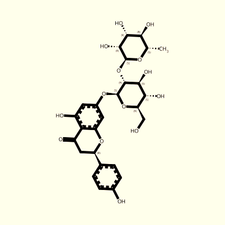 C[C@@H]1O[C@@H](O[C@H]2[C@H](Oc3cc(O)c4c(c3)O[C@@H](c3ccc(O)cc3)CC4=O)O[C@H](CO)[C@@H](O)[C@@H]2O)[C@H](O)[C@H](O)[C@H]1O